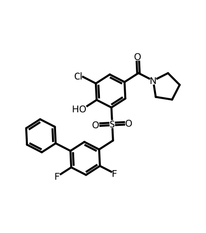 O=C(c1cc(Cl)c(O)c(S(=O)(=O)Cc2cc(-c3ccccc3)c(F)cc2F)c1)N1CCCC1